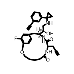 C#CCC1NC(=O)CCCCOc2ccc(cc2F)C[C@@H]([C@H](O)CNC2(c3cccc(C#C)c3)CC2)NC1=O